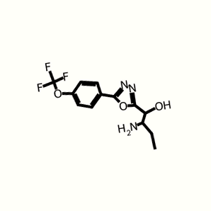 CCC(N)C(O)c1nnc(-c2ccc(OC(F)(F)F)cc2)o1